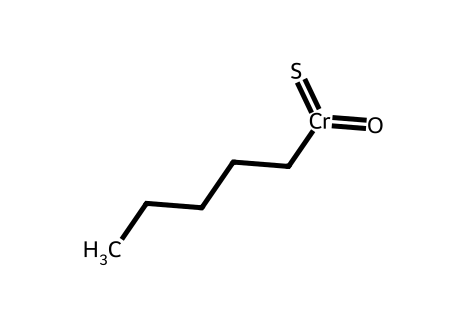 CCCC[CH2][Cr](=[O])=[S]